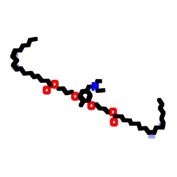 CCCCC/C=C\C/C=C\CCCCCCCC(=O)OCCCCOc1cc(CN(CC)CC)cc(OCCCCOC(=O)CCCCCCC/C=C\C/C=C\CCCCC)c1C